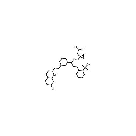 CC(C)(O)C1CCCCC1CCC(SCC1(CC(O)O)CC1)C1CCCC(CCC2CCC3CCC(Cl)CC3N2)C1